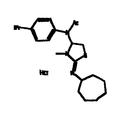 CC(=O)N(c1ccc(C(C)C)cc1)C1CSC(=NC2CCCCCC2)N1C.Cl